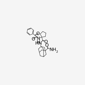 NC(=O)C12CC3CC(CC(NC(=O)C4(NS(=O)(=O)c5ccccc5)CCCC4)(C3)C1)C2